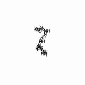 O=C1CCC(N2Cc3cc(NC4CCN(CCOCCOCCNCc5ccc(-n6cc(NC(=O)c7coc(-c8ccnc(NCC9CC9)c8)n7)c(C(F)F)n6)cc5)CC4)ccc3C2=O)C(=O)N1